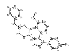 CSc1nccc(-c2c(-c3ccc(F)cc3)ccn2C2CCN(Cc3ccccc3)CC2)n1